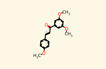 COc1ccc(/C=C/C(=O)c2cc(OC)cc(OC)c2)cc1